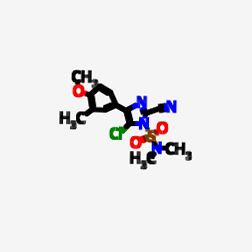 COc1ccc(-c2nc(C#N)n(S(=O)(=O)N(C)C)c2Cl)cc1C